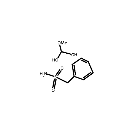 COC(O)O.NS(=O)(=O)Cc1ccccc1